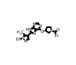 CCC(=O)N1CC[C@H](Oc2ncnc3[nH]c(-c4cnn(CC)c4C)nc23)C1